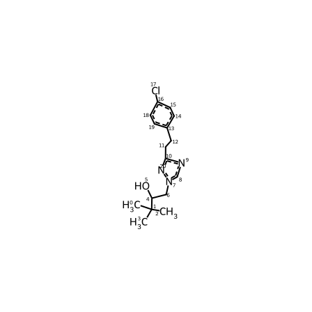 CC(C)(C)C(O)Cn1cnc(CCc2ccc(Cl)cc2)n1